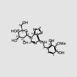 COc1c(O)ccc(CNc2ncn(C3O[C@H](CO)[C@@H](O)[C@H](O)[C@H]3O)c3ncnc2-3)c1O